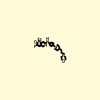 CCn1c(=O)c(F)cc2cnc(Nc3ccc(N4CCC(CCCN5CCOCC5)CC4)cc3)cc21